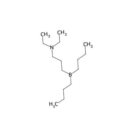 CCCCB(CCCC)CCCN(CC)CC